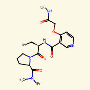 CC(C)C[C@@H](NC(=O)c1cnccc1OCC(=O)NC(C)(C)C)C(=O)N1CCC[C@@H]1C(=O)N(C)C(C)C